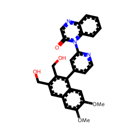 COc1cc2cc(CO)c(CO)c(-c3ccnc(-n4c(=O)cnc5ccccc54)c3)c2cc1OC